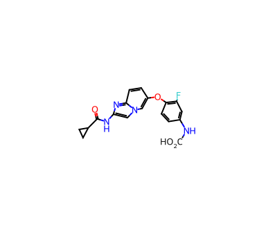 O=C(O)Nc1ccc(Oc2ccc3nc(NC(=O)C4CC4)cn3c2)c(F)c1